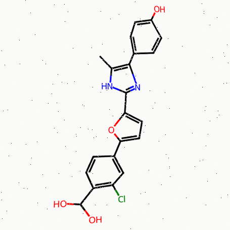 Cc1[nH]c(-c2ccc(-c3ccc(C(O)O)c(Cl)c3)o2)nc1-c1ccc(O)cc1